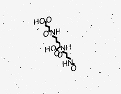 O=CNCCCC(=O)NC(CCCCNC(=O)CCC(=O)O)C(=O)O